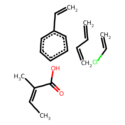 C=CC=C.C=CCl.C=Cc1ccccc1.CC=C(C)C(=O)O